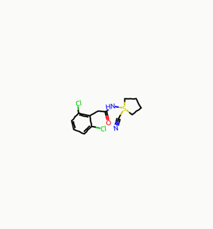 N#CS1(NC(=O)Cc2c(Cl)cccc2Cl)CCCC1